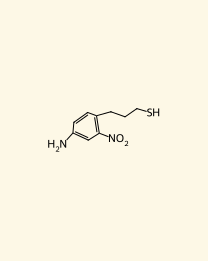 Nc1ccc(CCCS)c([N+](=O)[O-])c1